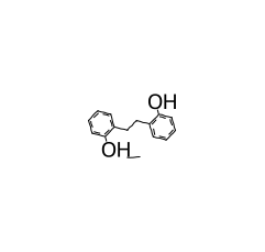 CC.Oc1ccccc1CCc1ccccc1O